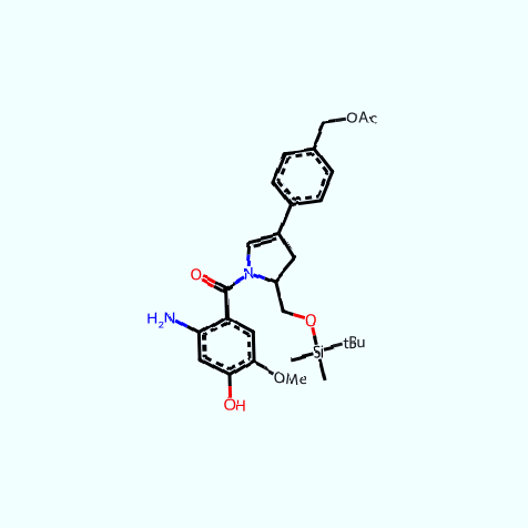 COc1cc(C(=O)N2C=C(c3ccc(COC(C)=O)cc3)CC2CO[Si](C)(C)C(C)(C)C)c(N)cc1O